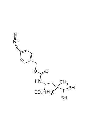 CC(C)(CC(NC(=O)OCc1ccc(N=[N+]=[N-])cc1)C(=O)O)C(S)S